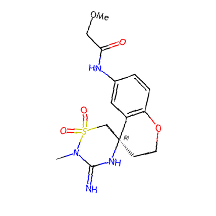 COCC(=O)Nc1ccc2c(c1)[C@]1(CCO2)CS(=O)(=O)N(C)C(=N)N1